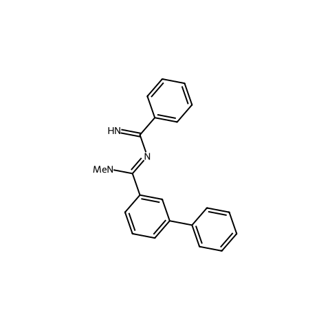 CN/C(=N\C(=N)c1ccccc1)c1cccc(-c2ccccc2)c1